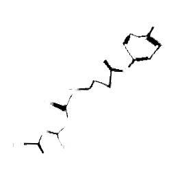 CCCC(=O)OC(OC(=O)NCCCC(=O)Oc1ccc(Cl)cc1)C(C)C.[NaH]